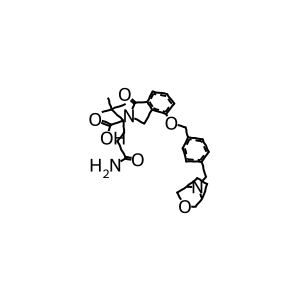 CC(C)(C)C(CCC(N)=O)(C(=O)O)N1Cc2c(OCc3ccc(CN4C5CCC4COC5)cc3)cccc2C1=O